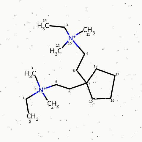 CC[N+](C)(C)CCC1(CC[N+](C)(C)CC)CCCC1